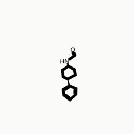 O=CN[C@H]1CC[C@@H](c2ccccc2)CC1